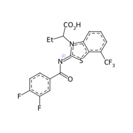 CCC(C(=O)O)n1/c(=N/C(=O)c2ccc(F)c(F)c2)sc2c(C(F)(F)F)cccc21